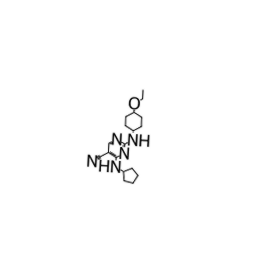 CCO[C@H]1CC[C@H](Nc2ncc(C#N)c(NC3CCCC3)n2)CC1